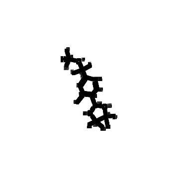 Cc1cc(C(C)(C)O[SiH](C)C)ncc1B1OC(C)(C)C(C)(C)O1